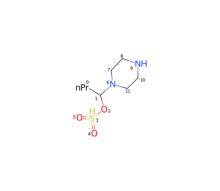 CCCC(O[SH](=O)=O)N1CCNCC1